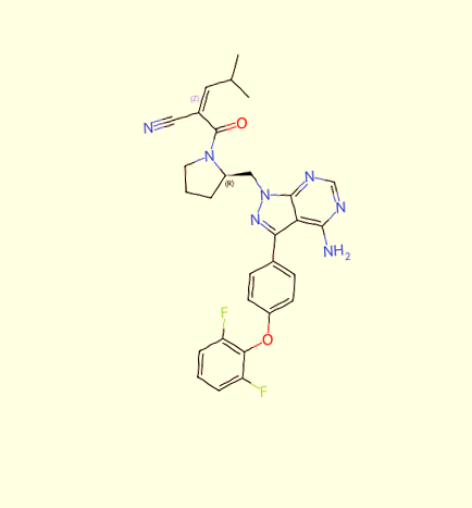 CC(C)/C=C(/C#N)C(=O)N1CCC[C@@H]1Cn1nc(-c2ccc(Oc3c(F)cccc3F)cc2)c2c(N)ncnc21